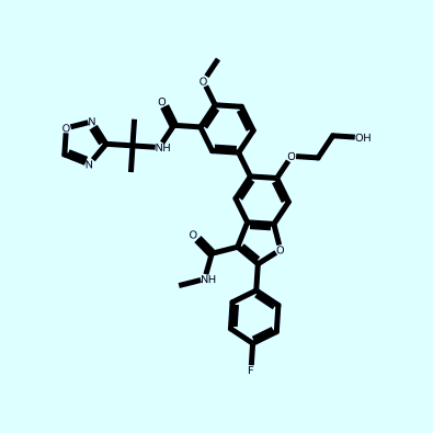 CNC(=O)c1c(-c2ccc(F)cc2)oc2cc(OCCO)c(-c3ccc(OC)c(C(=O)NC(C)(C)c4ncon4)c3)cc12